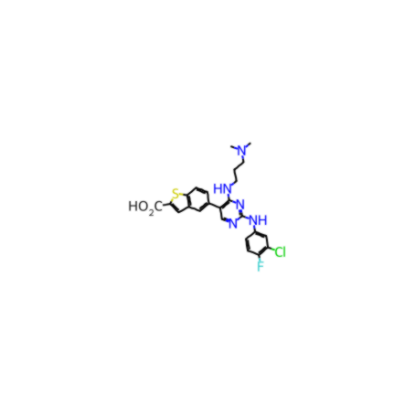 CN(C)CCCNc1nc(Nc2ccc(F)c(Cl)c2)ncc1-c1ccc2sc(C(=O)O)cc2c1